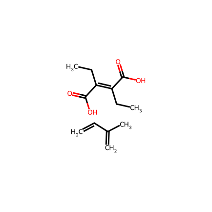 C=CC(=C)C.CCC(C(=O)O)=C(CC)C(=O)O